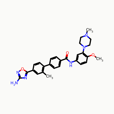 COc1ccc(NC(=O)c2ccc(-c3ccc(-c4nc(N)no4)cc3C)cc2)cc1N1CCN(C)CC1